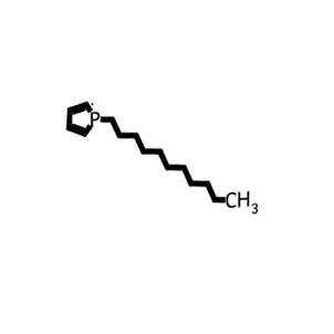 CCCCCCCCCCCp1[c]ccc1